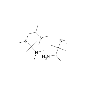 CC(CN(C)C(C)(C)N(C)C)N(C)C.CC(N)C(C)(C)N